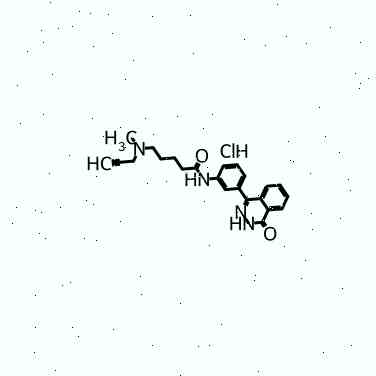 C#CCN(C)CCCCC(=O)Nc1cccc(-c2n[nH]c(=O)c3ccccc23)c1.Cl